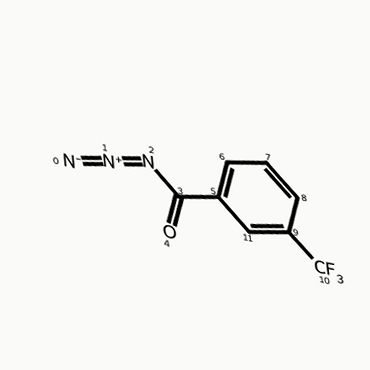 [N-]=[N+]=NC(=O)c1cccc(C(F)(F)F)c1